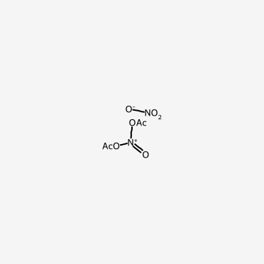 CC(=O)O[N+](=O)OC(C)=O.O=[N+]([O-])[O-]